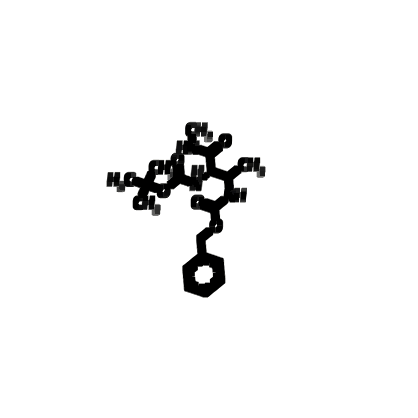 CNC(=O)[C@@H](NC(=O)OC(C)(C)C)C(C)NC(=O)OCc1ccccc1